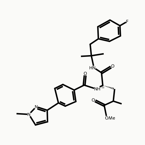 COC(=O)C(C)C[C@H](NC(=O)c1ccc(-c2ccn(C)n2)cc1)C(=O)NC(C)(C)Cc1ccc(F)cc1